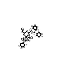 O=C(NC1C(=O)N2C(C(=O)OC(c3ccccc3)c3ccccc3)C=C(CCl)S[C@H]12)c1ccccc1